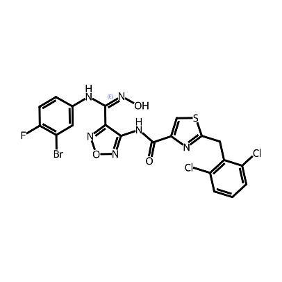 O=C(Nc1nonc1/C(=N\O)Nc1ccc(F)c(Br)c1)c1csc(Cc2c(Cl)cccc2Cl)n1